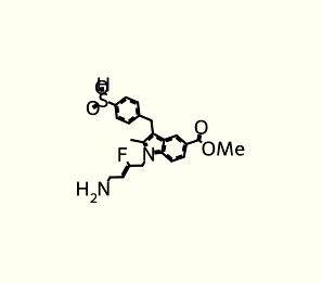 COC(=O)c1ccc2c(c1)c(Cc1ccc([SH](=O)=O)cc1)c(C)n2C/C(F)=C/CN